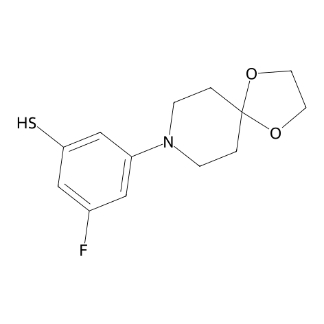 Fc1cc(S)cc(N2CCC3(CC2)OCCO3)c1